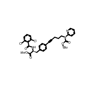 COC(=O)[C@H](Cc1ccc(C#CCCCN(C(=O)OC(C)(C)C)c2ccccn2)cc1)NC(=O)c1c(Cl)cccc1Cl